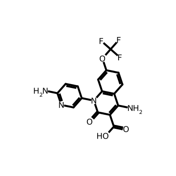 Nc1ccc(-n2c(=O)c(C(=O)O)c(N)c3ccc(OC(F)(F)F)cc32)cn1